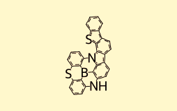 c1cc2c3c(c1)Sc1cccc4c1B3c1c(ccc3c5ccc6c7ccccc7sc6c5n-4c13)N2